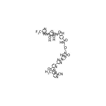 [2H]c1cc(C(=O)NCCOCCN2C[C@@H]3CN(c4ncc(-c5ccc6c(n5)N(Cc5cccnc5C#N)C(C)(C)C6=O)cn4)CCN3C2=O)ccc1C(=O)NC[C@H]1OC[C@H](Nc2cncc(C(F)(F)F)n2)[C@@H](O)[C@H]1O